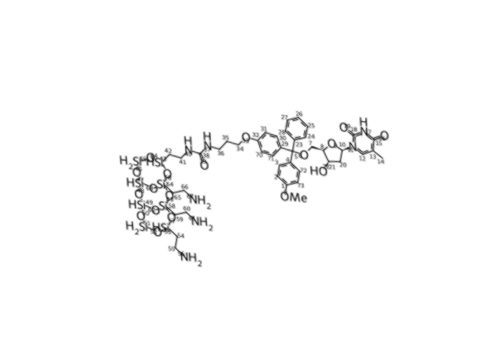 COc1ccc(C(OC[C@H]2O[C@@H](n3cc(C)c(=O)[nH]c3=O)C[C@H]2O)(c2ccccc2)c2ccc(OCCCNC(=O)NCC[SiH]3O[SiH2]O[SiH]4O[SiH]5O[SiH2]O[SiH](CCN)O[Si](CCN)(O5)O[Si](CCN)(O3)O4)cc2)cc1